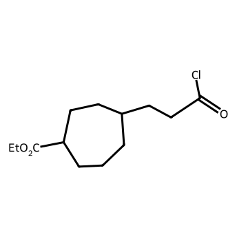 CCOC(=O)C1CCCC(CCC(=O)Cl)CC1